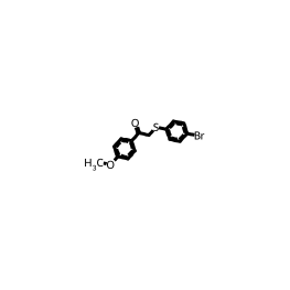 COc1ccc(C(=O)CSc2ccc(Br)cc2)cc1